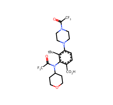 CC(C)(C)c1c(N2CCN(C(=O)C(F)(F)F)CC2)ccc(C(=O)O)c1N(C(=O)C(F)(F)F)C1CCOCC1